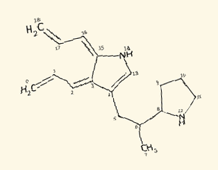 C=C/C=c1/c(CC(C)C2CCCN2)c[nH]/c1=C/C=C